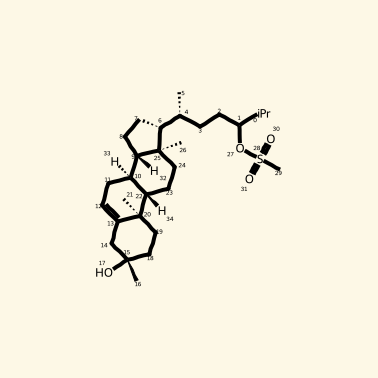 CC(C)C(CC[C@@H](C)[C@H]1CC[C@H]2[C@@H]3CC=C4C[C@@](C)(O)CC[C@]4(C)[C@H]3CC[C@]12C)OS(C)(=O)=O